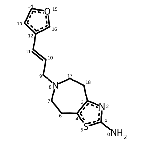 Nc1nc2c(s1)CCN(CC=Cc1ccoc1)CC2